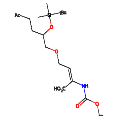 CC(=O)CCC(COC/C=C(/NC(=O)OC(C)(C)C)C(=O)O)O[Si](C)(C)C(C)(C)C